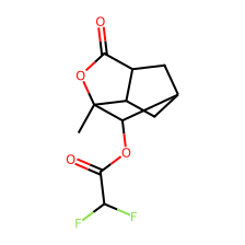 CC12OC(=O)C3CC(CC31)C2OC(=O)C(F)F